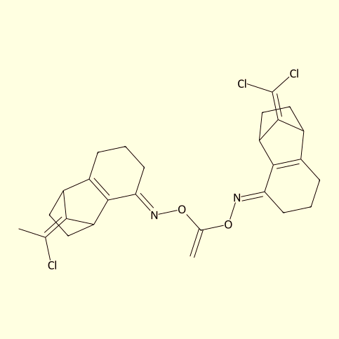 C=C(O/N=C1\CCCC2=C1C1CCC2C1=C(Cl)Cl)O/N=C1\CCCC2=C1C1CCC2/C1=C(\C)Cl